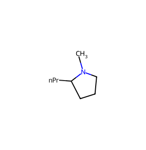 CCCC1CCCN1C